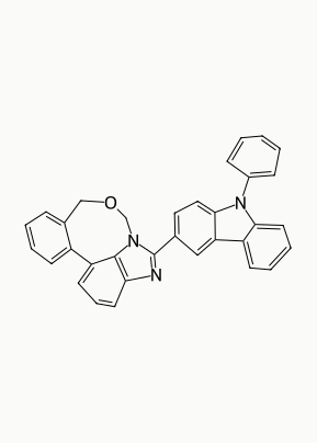 c1ccc(-n2c3ccccc3c3cc(-c4nc5cccc6c5n4COCc4ccccc4-6)ccc32)cc1